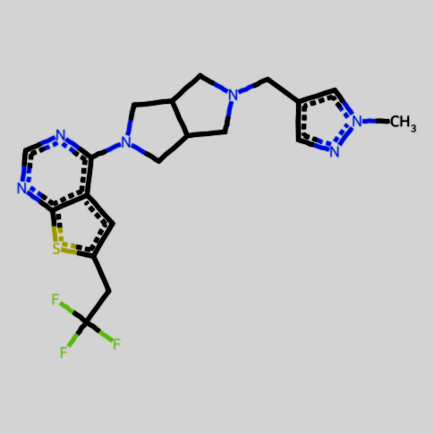 Cn1cc(CN2CC3CN(c4ncnc5sc(CC(F)(F)F)cc45)CC3C2)cn1